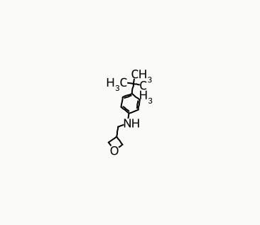 CC(C)(C)c1ccc(NCC2COC2)cc1